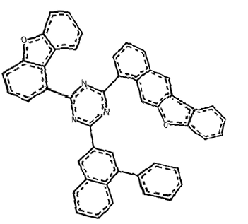 c1ccc(-c2cc(-c3nc(-c4cccc5cc6c(cc45)oc4ccccc46)nc(-c4cccc5oc6ccccc6c45)n3)cc3ccccc23)cc1